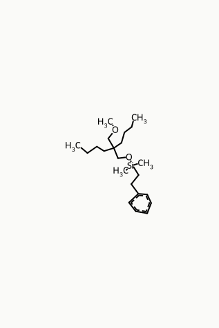 CCCCC(CCCC)(COC)CO[Si](C)(C)CCc1ccccc1